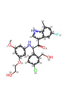 COc1cc(NC(C(=O)c2c[nH]c3c(C)cc(F)cc23)c2ccc(Cl)cc2CO)cc(OCCO)c1